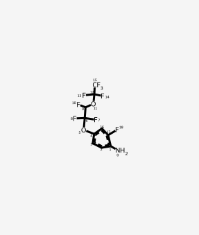 Nc1ccc(OC(F)(F)C(F)OC(F)(F)C(F)(F)F)cc1F